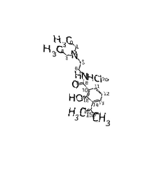 CCN(CC)CCNC(=O)c1cccc(C(C)C)c1O.Cl